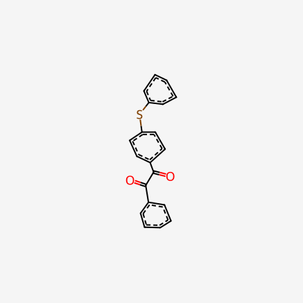 O=C(C(=O)c1ccc(Sc2ccccc2)cc1)c1ccccc1